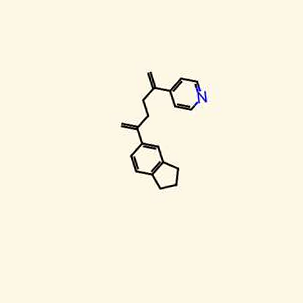 C=C(CCC(=C)c1ccc2c(c1)CCC2)c1ccncc1